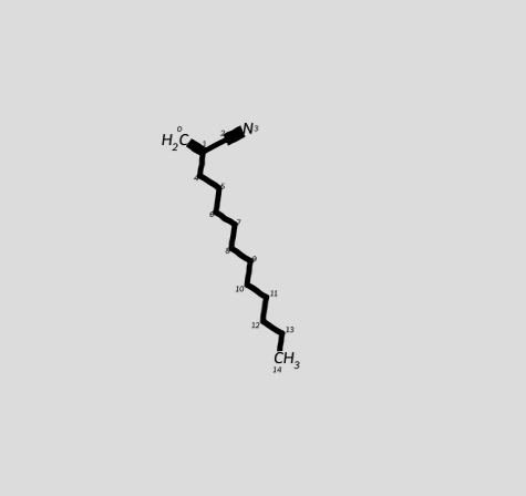 C=C(C#N)CCCCCCCCCCC